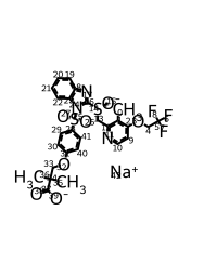 Cc1c(OCC(F)(F)F)ccnc1C[S+]([O-])c1nc2ccccc2n1S(=O)(=O)c1ccc(OCC(C)(C)C(=O)[O-])cc1.[Na+]